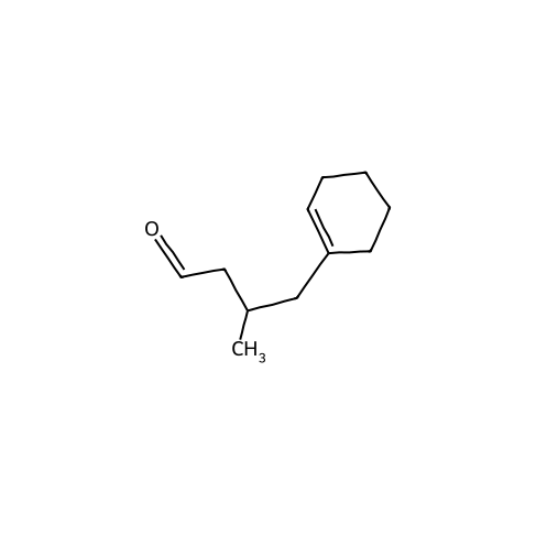 CC(CC=O)CC1=CCCCC1